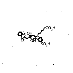 CCN1/C(=C/C2C(O)=C(/C=C3/N(CCCCCC(=O)O)c4ccc(S(=O)(=O)O)cc4C3(C)C)C2O)Sc2ccccc21